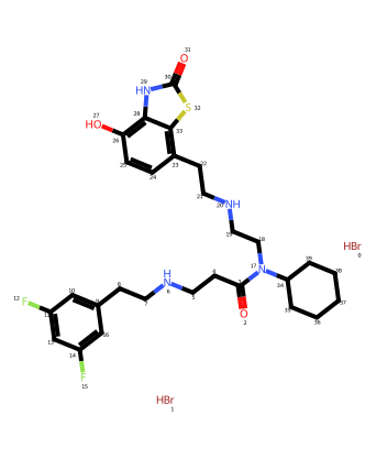 Br.Br.O=C(CCNCCc1cc(F)cc(F)c1)N(CCNCCc1ccc(O)c2[nH]c(=O)sc12)C1CCCCC1